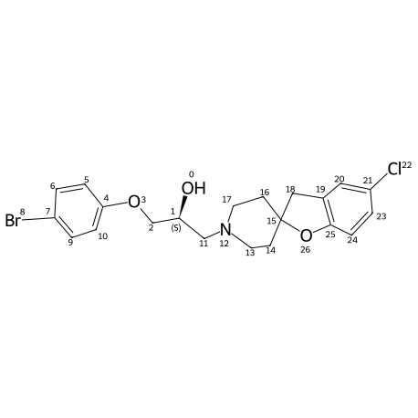 O[C@H](COc1ccc(Br)cc1)CN1CCC2(CC1)Cc1cc(Cl)ccc1O2